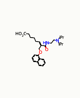 CC(C)N(CCNC(=O)/C(=C/CCCCC(=O)O)COc1cccc2ccccc12)C(C)C